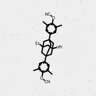 CCCC12CC3(CC)CC(c4cc(C)c(OC#N)c(C)c4)(C1)CC(c1cc(C)c(OC#N)c(C)c1)(C3)C2